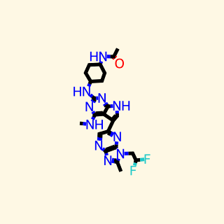 CNc1nc(NC2CCC(NC(C)=O)CC2)nc2[nH]cc(-c3cnc4nc(C)n(CC(F)F)c4n3)c12